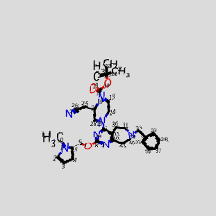 CN1CCC[C@H]1COc1nc2c(c(N3CCN(C(=O)OC(C)(C)C)[C@H](CC#N)C3)n1)CCN(Cc1ccccc1)CC2